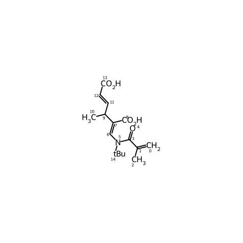 C=C(C)C(=O)N(C=C(C(=O)O)C(C)C=CC(=O)O)C(C)(C)C